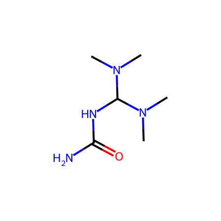 CN(C)C(NC(N)=O)N(C)C